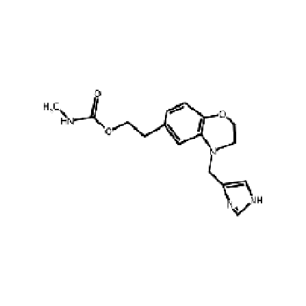 CNC(=O)OCCc1ccc2c(c1)N(Cc1c[nH]cn1)CCO2